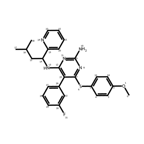 COc1ccc(Sc2nc(N)nc(NC(CC(C)C)c3ccccn3)c2-c2cccc(F)c2)cc1